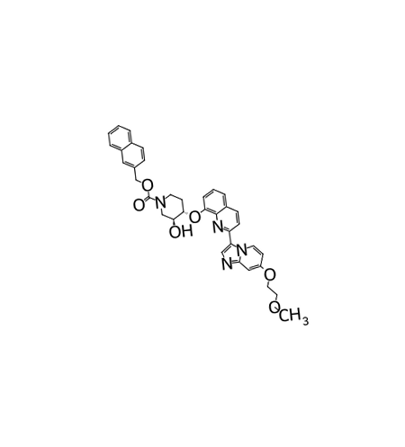 COCCOc1ccn2c(-c3ccc4cccc(O[C@H]5CCN(C(=O)OCc6ccc7ccccc7c6)C[C@@H]5O)c4n3)cnc2c1